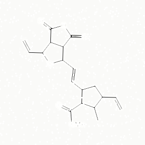 C=CC1CC(C=CC2OC(C=C)C3C(=O)OC(=O)C23)C(C(=O)OC)C1C